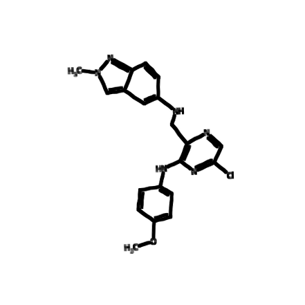 COc1ccc(Nc2nc(Cl)cnc2CNc2ccc3nn(C)cc3c2)cc1